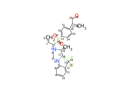 C=CC(N1CCN(c2ccccc2C(F)(F)F)CC1C)S(=O)(=O)c1ccc(C(C)C=O)cc1